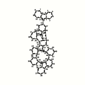 c1ccc2c(c1)c1ccccc1n2-c1cc2c3cccc4c5c6c7cccc8c9ccccc9n9c%10ccccc%10c%10cccc(c%11ccccc%11n(c6cc6c(c1)c2n(c34)c65)c87)c%109